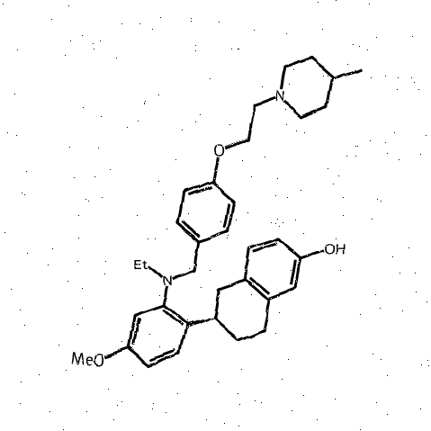 CCN(Cc1ccc(OCCN2CCC(C)CC2)cc1)c1cc(OC)ccc1[C@@H]1CCc2cc(O)ccc2C1